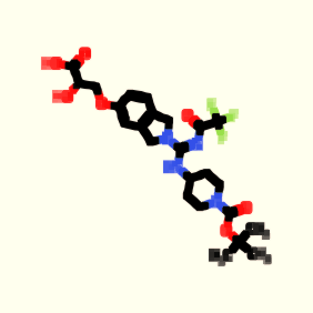 CC(C)(C)OC(=O)N1CCC(N/C(=N/C(=O)C(F)(F)F)N2Cc3ccc(OC[C@@H](O)C(=O)O)cc3C2)CC1